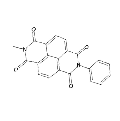 CN1C(=O)c2ccc3c4c(ccc(c24)C1=O)C(=O)N(c1ccccc1)C3=O